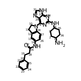 NC1CCC(Nc2nc(N3CCc4cc(NC(=O)CCc5ccccc5)ccc43)c3nc[nH]c3n2)CC1